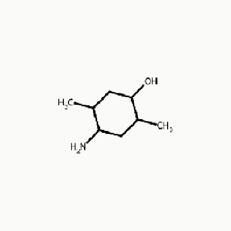 CC1CC(O)C(C)CC1N